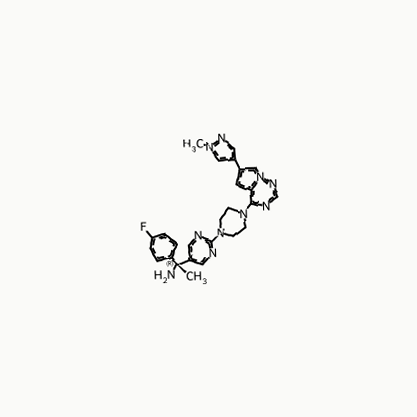 Cn1cc(-c2cc3c(N4CCN(c5ncc([C@](C)(N)c6ccc(F)cc6)cn5)CC4)ncnn3c2)cn1